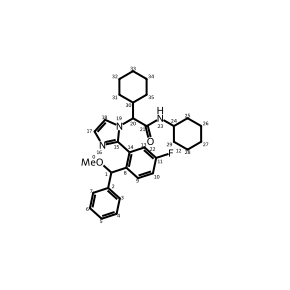 COC(c1ccccc1)c1ccc(F)cc1-c1nccn1C(C(=O)NC1CCCCC1)C1CCCCC1